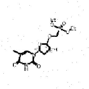 CCOP(=O)(CO[C@@H]1O[C@H](n2cc(C)c(=O)[nH]c2=O)C[C@H]1I)OCC